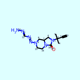 C#CC(C)(C)N1CC2CN(N=NC=NN)CCN2C1=O